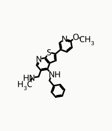 CNCc1cnc2sc(-c3ccc(OC)nc3)cc2c1NCc1ccccc1